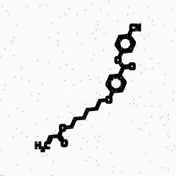 C=CC(=O)OCCCCCCOc1ccc(C(=O)Oc2ccc(C#N)cc2)cc1